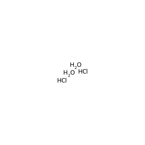 Cl.Cl.O.O